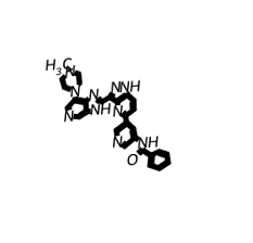 CN1CCN(c2cncc3[nH]c(-c4n[nH]c5ccc(-c6cncc(NC(=O)c7ccccc7)c6)nc45)nc23)CC1